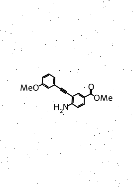 COC(=O)c1ccc(N)c(C#Cc2cccc(OC)c2)c1